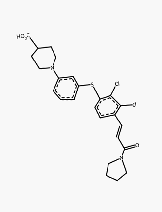 O=C(O)C1CCN(c2cccc(Sc3ccc(C=CC(=O)N4CCCC4)c(Cl)c3Cl)c2)CC1